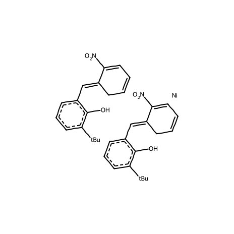 CC(C)(C)c1cccc(C=C2CC=CC=C2[N+](=O)[O-])c1O.CC(C)(C)c1cccc(C=C2CC=CC=C2[N+](=O)[O-])c1O.[Ni]